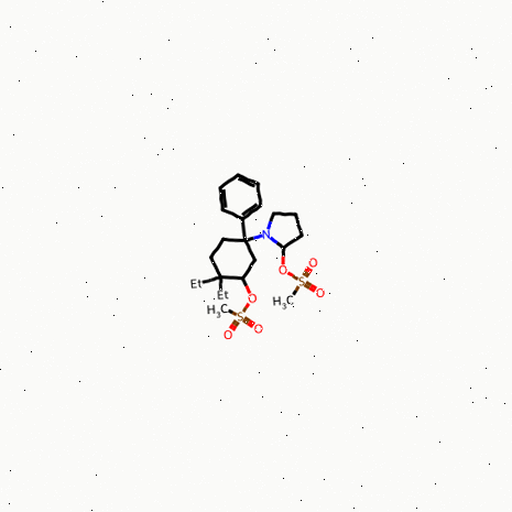 CCC1(CC)CCC(c2ccccc2)(N2CCCC2OS(C)(=O)=O)CC1OS(C)(=O)=O